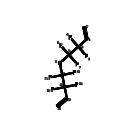 C=CC(F)(F)C(F)(F)OC(F)(F)C(F)(F)C=C